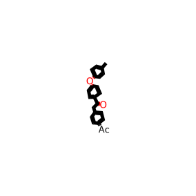 CC(=O)c1ccc(CC(=O)c2ccc(Oc3ccc(C)cc3)cc2)cc1